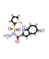 NN(C(=O)c1cc2cc(Cl)ccc2[nH]1)S(=O)(=O)c1cccs1